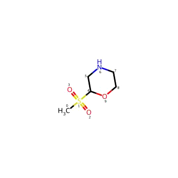 CS(=O)(=O)C1CNCCO1